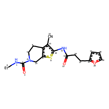 CCNC(=O)N1CCc2c(sc(NC(=O)CCc3ccco3)c2C#N)C1